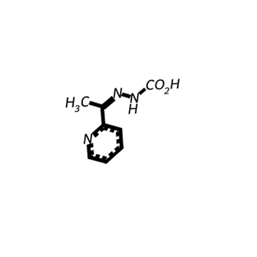 C/C(=N/NC(=O)O)c1ccccn1